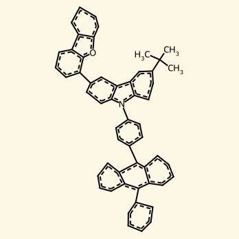 CC(C)(C)c1ccc2c(c1)c1cc(-c3cccc4c3oc3ccccc34)ccc1n2-c1ccc(-c2c3ccccc3c(-c3ccccc3)c3ccccc23)cc1